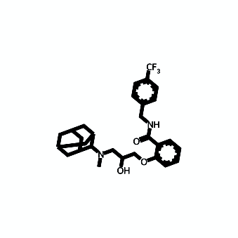 CN(CC(O)COc1ccccc1C(=O)NCc1ccc(C(F)(F)F)cc1)C1C2CC3CC(C2)CC1C3